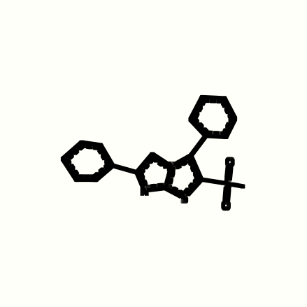 CS(=O)(=O)c1sc2nc(-c3ccccc3)cn2c1-c1ccccc1